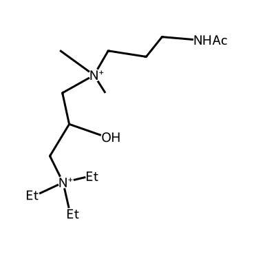 CC[N+](CC)(CC)CC(O)C[N+](C)(C)CCCNC(C)=O